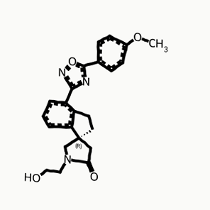 COc1ccc(-c2nc(-c3cccc4c3CC[C@@]43CC(=O)N(CCO)C3)no2)cc1